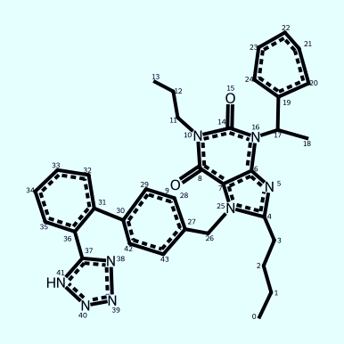 CCCCc1nc2c(c(=O)n(CCC)c(=O)n2C(C)c2ccccc2)n1Cc1ccc(-c2ccccc2-c2nnn[nH]2)cc1